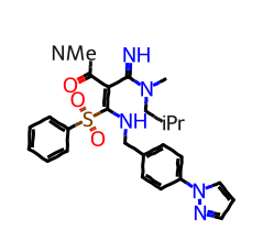 CNC(=O)/C(C(=N)N(C)CC(C)C)=C(/NCc1ccc(-n2cccn2)cc1)S(=O)(=O)c1ccccc1